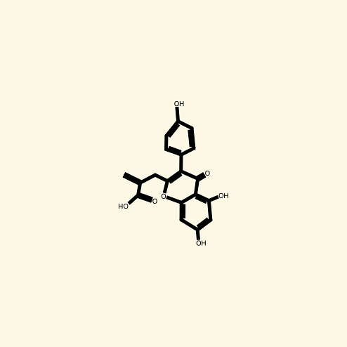 C=C(Cc1oc2cc(O)cc(O)c2c(=O)c1-c1ccc(O)cc1)C(=O)O